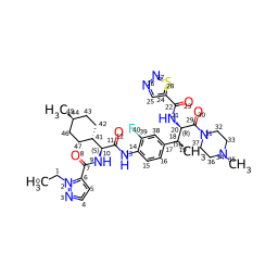 CCn1nccc1C(=O)N[C@H](C(=O)Nc1ccc([C@H](C)[C@@H](NC(=O)c2cnns2)C(=O)N2CCN(C)CC2)cc1F)[C@H]1CC[C@H](C)CC1